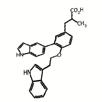 CC(Cc1ccc(OCCc2c[nH]c3ccccc23)c(-c2ccc3[nH]ccc3c2)c1)C(=O)O